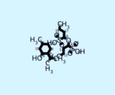 CC1CCC(C(C)C)C(O)C1.CCCC(OC(CCC)S(=O)(=O)O)S(=O)(=O)O